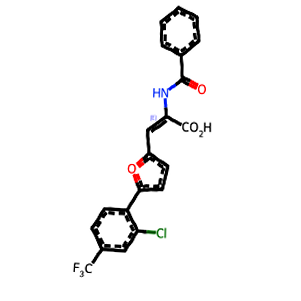 O=C(O)/C(=C\c1ccc(-c2ccc(C(F)(F)F)cc2Cl)o1)NC(=O)c1ccccc1